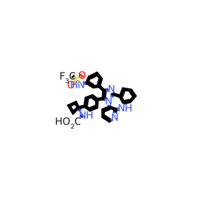 O=C(O)NC1(c2ccc(-c3c(-c4cccc(NS(=O)(=O)C(F)(F)F)c4)nc4n3-c3cccnc3Nc3ccccc3-4)cc2)CCC1